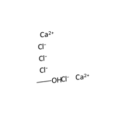 CO.[Ca+2].[Ca+2].[Cl-].[Cl-].[Cl-].[Cl-]